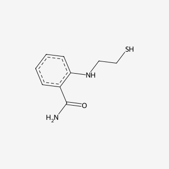 NC(=O)c1ccccc1NCCS